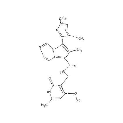 COc1cc(C)[nH]c(=O)c1CNC(=O)c1c(C)c(-c2nn(C)cc2C)n2cnccc12